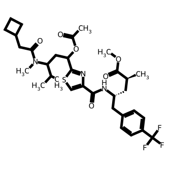 COC(=O)[C@@H](C)C[C@H](Cc1ccc(C(F)(F)F)cc1)NC(=O)c1csc(C(CC(C(C)C)N(C)C(=O)CC2CCC2)OC(C)=O)n1